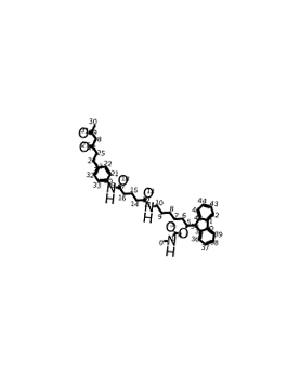 CNC(=O)OC(CCCCCNC(=O)CCCC(=O)Nc1ccc(CCC(=O)CC(C)=O)cc1)C1c2ccccc2-c2ccccc21